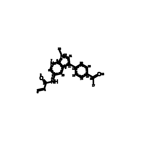 C=CC(=O)Nc1cnc2c(c1)c(-c1ccc(C(C)=O)cc1)cn2C